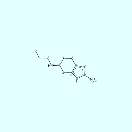 CCCN[C@H]1CCc2nc(N)[nH]c2C1